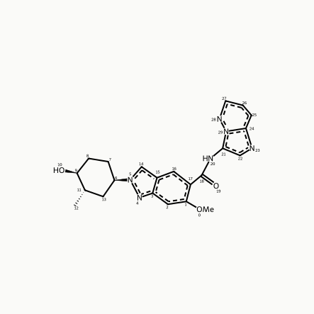 COc1cc2nn([C@@H]3CC[C@H](O)[C@@H](C)C3)cc2cc1C(=O)Nc1cnc2cccnn12